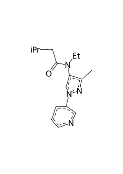 CCN(C(=O)CC(C)C)c1cn(-c2cccnc2)nc1C